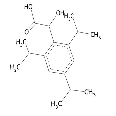 CC(C)c1cc(C(C)C)c(C(O)C(=O)O)c(C(C)C)c1